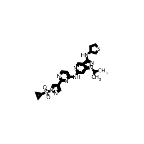 CC(C)n1nc(NC2CCSC2)c2cnc(Nc3ccnc(-c4cnn(S(=O)(=O)C5CC5)c4)n3)cc21